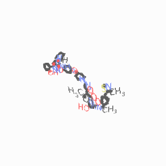 Cc1ncsc1-c1ccc([C@H](C)NC(=O)[C@@H]2C[C@@H](O)CN2C(=O)[C@H](c2cc(N3CCC(OC4CCC(Oc5cc(N6C7CC[C@@H]6CN(c6cc(-c8ccccc8O)nnc6N)C7)ccn5)CC4)CC3)no2)C(C)C)cc1